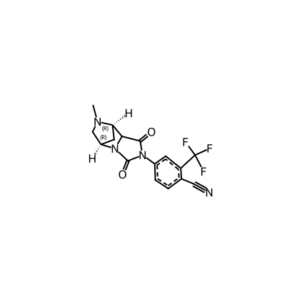 CN1C[C@H]2C[C@@H]1C1C(=O)N(c3ccc(C#N)c(C(F)(F)F)c3)C(=O)N12